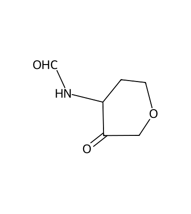 O=CNC1CCOCC1=O